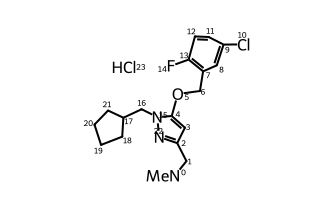 CNCc1cc(OCc2cc(Cl)ccc2F)n(CC2CCCC2)n1.Cl